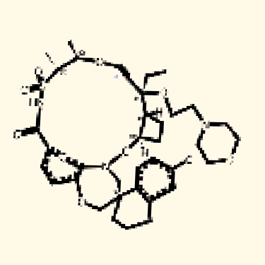 CC[C@]1(OCCN2CCOCC2)/C=C/C[C@H](C)[C@@H](C)S(=O)(=O)NC(=O)c2ccc3c(c2)N(C[C@@H]2CC[C@H]21)C[C@@]1(CCCc2cc(Cl)ccc21)CO3